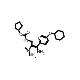 CN(N)/C(CNC(=O)OC1CCCC1)=C(\N)c1ccc(OC2CCCCC2)cn1